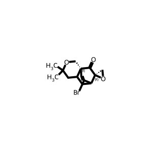 CC1(C)CC2CC3C(Br)=C[C@]2(CO1)C(=O)[C@]31CO1